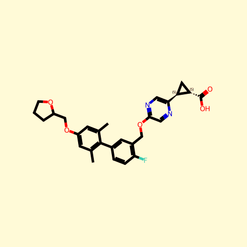 Cc1cc(OCC2CCCO2)cc(C)c1-c1ccc(F)c(COc2cnc([C@H]3C[C@@H]3C(=O)O)cn2)c1